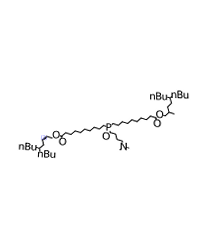 CCCCC(C/C=C\COC(=O)CCCCCCCCCP(CCCCCCCCCC(=O)OCC(C)CCC(CCCC)CCCC)C(=O)CCCN(C)C)CCCC